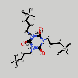 C[Si](C)(C)CCCn1c(=O)n(CCC[Si](C)(C)C)c(=O)n(CCC[Si](C)(C)C)c1=O